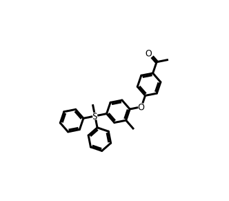 CC(=O)c1ccc(Oc2ccc(S(C)(c3ccccc3)c3ccccc3)cc2C)cc1